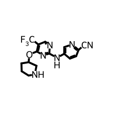 N#Cc1ccc(Nc2ncc(C(F)(F)F)c(OC3CCCNC3)n2)cn1